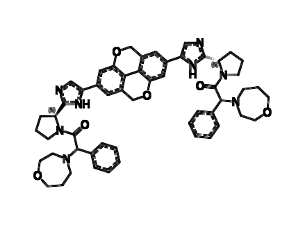 O=C(C(c1ccccc1)N1CCCOCC1)N1CCC[C@H]1c1ncc(-c2cc3c4c(c2)OCc2cc(-c5cnc([C@@H]6CCCN6C(=O)C(c6ccccc6)N6CCCOCC6)[nH]5)cc(c2-4)OC3)[nH]1